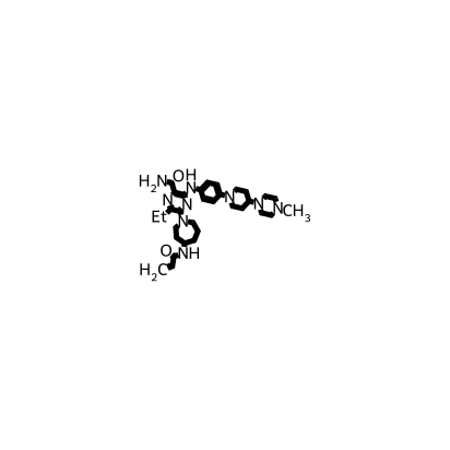 C=CC(=O)NC1CCCN(c2nc(Nc3ccc(N4CCC(N5CCN(C)CC5)CC4)cc3)c(C(N)=O)nc2CC)CC1